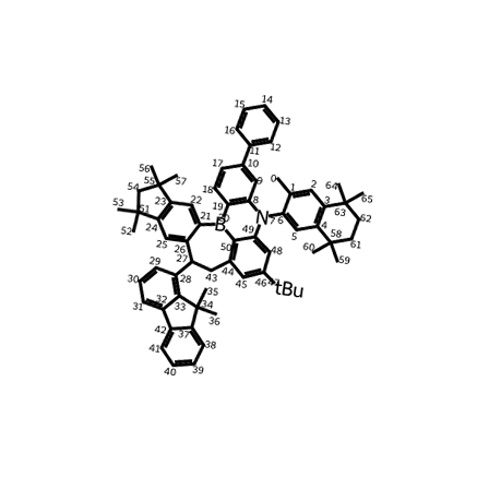 Cc1cc2c(cc1N1c3cc(-c4ccccc4)ccc3B3c4cc5c(cc4C(c4cccc6c4C(C)(C)c4ccccc4-6)Cc4cc(C(C)(C)C)cc1c43)C(C)(C)CC5(C)C)C(C)(C)CCC2(C)C